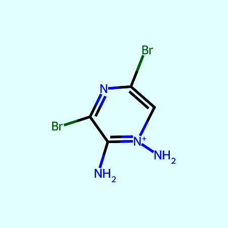 Nc1c(Br)nc(Br)c[n+]1N